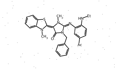 CCNc1ccc(C(C)=O)cc1/N=C1\N(Cc2ccccc2)C(=O)/C(=C2/Sc3ccccc3N2C)N1C